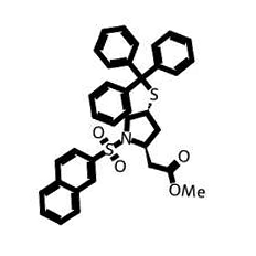 COC(=O)C[C@@H]1C[C@@H](SC(c2ccccc2)(c2ccccc2)c2ccccc2)CN1S(=O)(=O)c1ccc2ccccc2c1